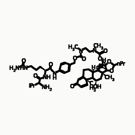 CCCC1O[C@@H]2CC3[C@@H]4CCC5=CC(=O)C=C[C@]5(C)C4[C@@H](O)C[C@]3(C)[C@]2(C(=O)COC(=O)N(C)CCN(C)C(=O)OCc2ccc(NC(=O)[C@H](CCCNC(N)=O)NC(=O)C(N)C(C)C)cc2)O1